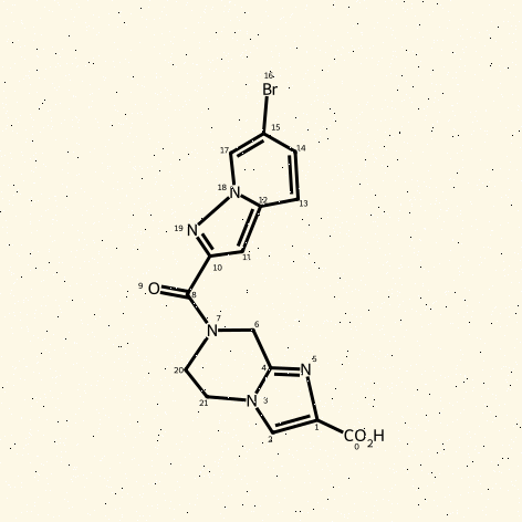 O=C(O)c1cn2c(n1)CN(C(=O)c1cc3ccc(Br)cn3n1)CC2